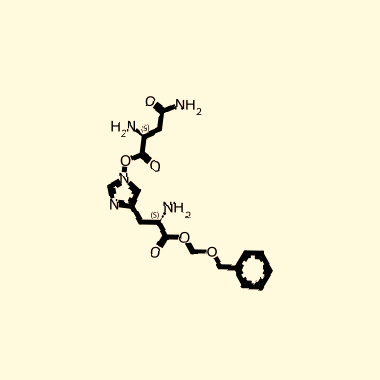 NC(=O)C[C@H](N)C(=O)On1cnc(C[C@H](N)C(=O)OCOCc2ccccc2)c1